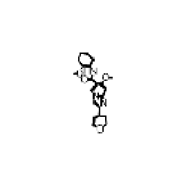 COc1cc2nc(C3CCOCC3)cn2cc1C(=O)N[C@@H]1CCCC[C@H]1OC